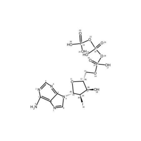 Nc1ncnc2c1ncn2[C@@H]1O[C@H](COP(=O)(O)OP(=O)(O)OP(=O)(O)O)[C@@H](O)[C@H]1I